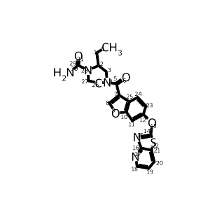 CCC1CN(C(=O)c2coc3cc(Oc4nc5ncccc5s4)ccc23)CCN1C(N)=O